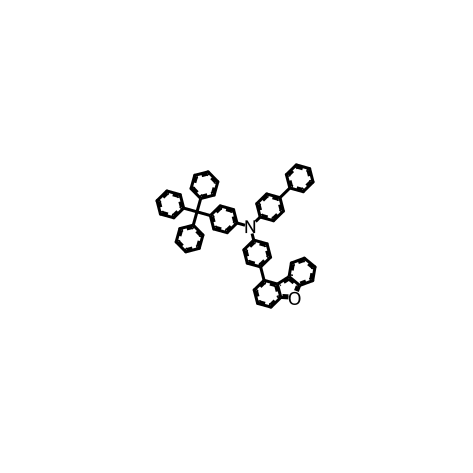 c1ccc(-c2ccc(N(c3ccc(-c4cccc5oc6ccccc6c45)cc3)c3ccc(C(c4ccccc4)(c4ccccc4)c4ccccc4)cc3)cc2)cc1